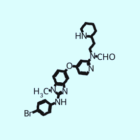 Cn1c(Nc2ccc(Br)cc2)nc2cc(Oc3ccnc(N(C=O)CCC4CCCCN4)c3)ccc21